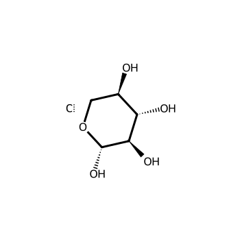 O[C@@H]1[C@@H](O)[C@H](O)OC[C@H]1O.[C]